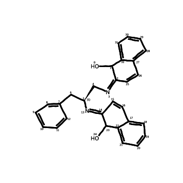 OC1C(=NC[C@H](Cc2ccccc2)N=C2C=Cc3ccccc3C2O)C=Cc2ccccc21